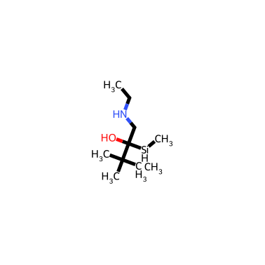 CCNCC(O)([SiH](C)C)C(C)(C)C